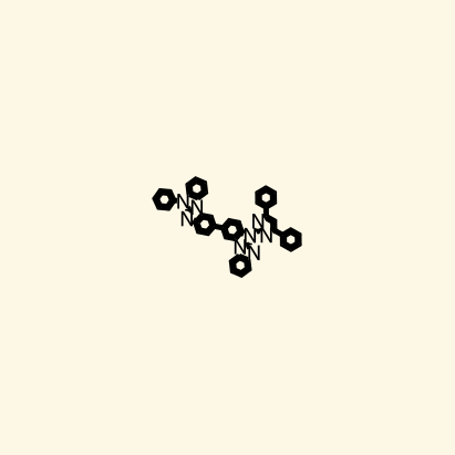 c1ccc(-c2cc(-c3ccccc3)nc(-n3c4ccc(-c5ccc6nc7n(-c8ccccc8)c8ccccc8n7c6c5)cc4n4c5ccccc5nc34)n2)cc1